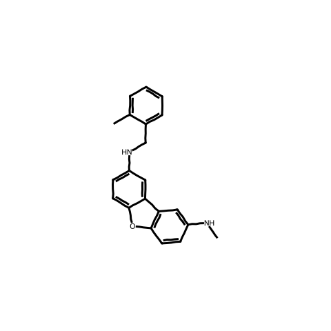 CNc1ccc2oc3ccc(NCc4ccccc4C)cc3c2c1